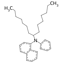 CCCCCCCC(CCCCCCC)N(c1ccccc1)c1cccc2ccccc12